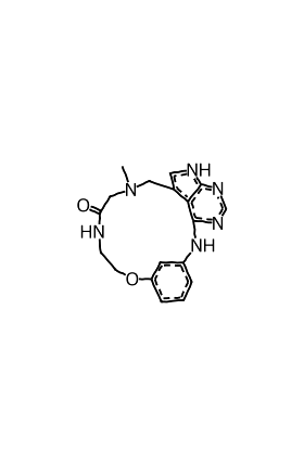 CN1CC(=O)NCCOc2cccc(c2)Nc2ncnc3[nH]cc(c23)C1